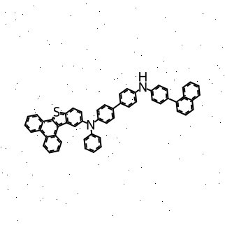 c1ccc(N(c2ccc(-c3ccc(Nc4ccc(-c5cccc6ccccc56)cc4)cc3)cc2)c2ccc3sc4c5ccccc5c5ccccc5c4c3c2)cc1